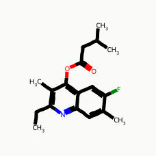 CCc1nc2cc(C)c(F)cc2c(OC(=O)CC(C)C)c1C